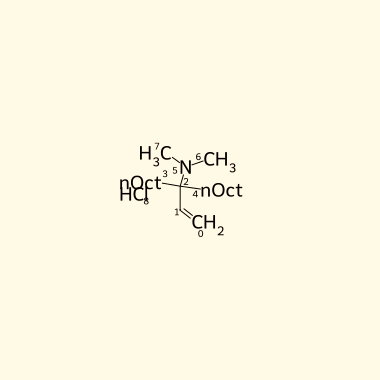 C=CC(CCCCCCCC)(CCCCCCCC)N(C)C.Cl